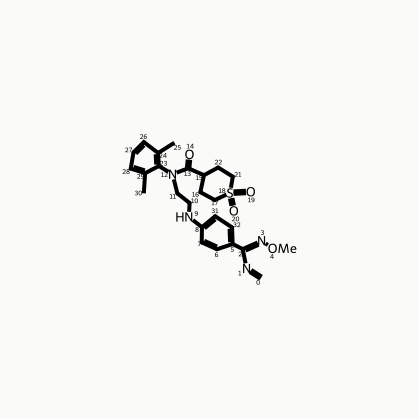 C=N/C(=N\OC)c1ccc(NCCN(C(=O)C2CCS(=O)(=O)CC2)c2c(C)cccc2C)cc1